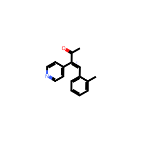 CC(=O)/C(=C/c1ccccc1C)c1ccncc1